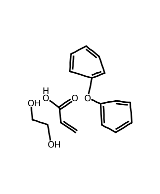 C=CC(=O)O.OCCO.c1ccc(Oc2ccccc2)cc1